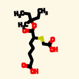 CCC(C)(CC)OC(=O)C(CCCCC(=O)O)SCC(=O)O